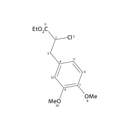 CCOC(=O)C(Cl)Cc1ccc(OC)c(OC)c1